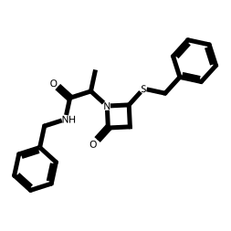 CC(C(=O)NCc1ccccc1)N1C(=O)CC1SCc1ccccc1